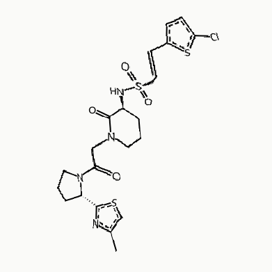 Cc1csc([C@@H]2CCCN2C(=O)CN2CCC[C@H](NS(=O)(=O)/C=C/c3ccc(Cl)s3)C2=O)n1